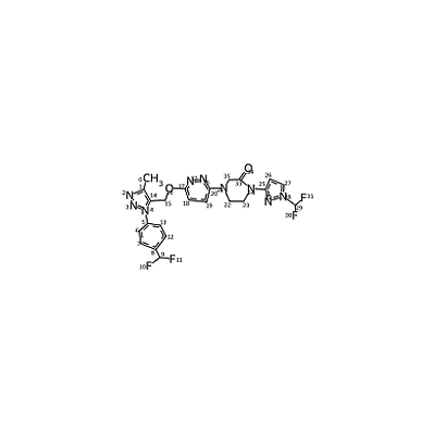 Cc1nnn(-c2ccc(C(F)F)cc2)c1COc1ccc(N2CCN(c3ccn(C(F)F)n3)C(=O)C2)nn1